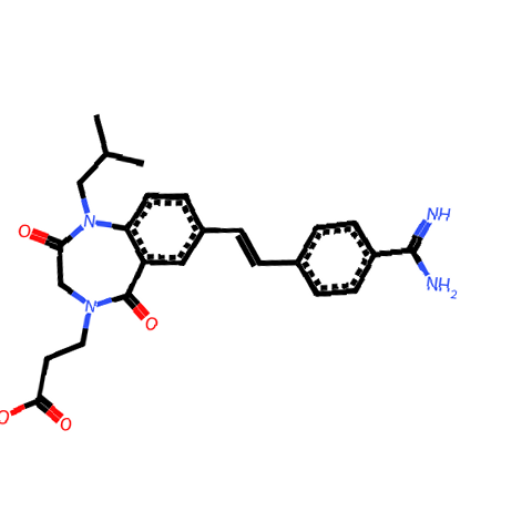 CC(C)CN1C(=O)CN(CCC(=O)O)C(=O)c2cc(C=Cc3ccc(C(=N)N)cc3)ccc21